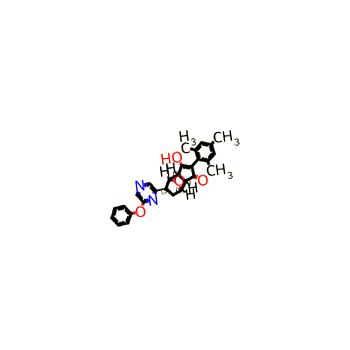 Cc1cc(C)c(C2=C(O)[C@@H]3[C@@H]4O[C@@H](C[C@H]4c4cncc(Oc5ccccc5)n4)[C@@H]3C2=O)c(C)c1